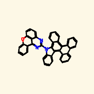 c1ccc2c(c1)Oc1cccc3nc(-n4c5ccccc5c5c6c7ccccc7c7ccccc7c6c6ccccc6c54)nc-2c13